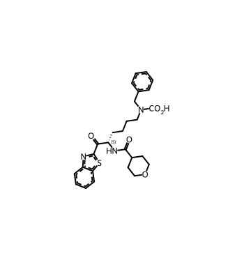 O=C(N[C@@H](CCCCN(Cc1ccccc1)C(=O)O)C(=O)c1nc2ccccc2s1)C1CCOCC1